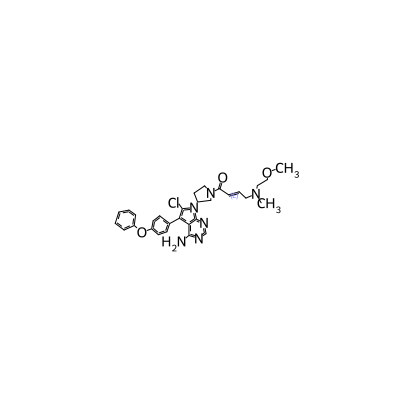 COCCN(C)C/C=C/C(=O)N1CCC(n2c(Cl)c(-c3ccc(Oc4ccccc4)cc3)c3c(N)ncnc32)C1